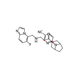 N#Cc1ccc(N2C3CCC2CN(C(=O)CCNCc2c(F)ccc4nccn24)C3)nc1